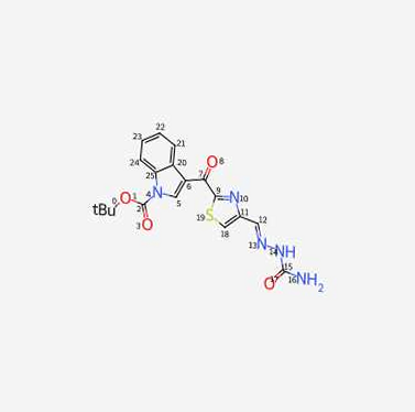 CC(C)(C)OC(=O)n1cc(C(=O)c2nc(C=NNC(N)=O)cs2)c2ccccc21